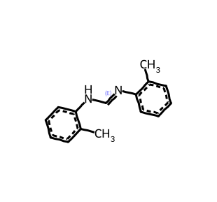 Cc1ccccc1/N=C/Nc1ccccc1C